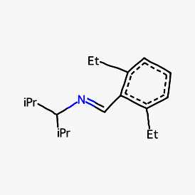 CCc1cccc(CC)c1C=NC(C(C)C)C(C)C